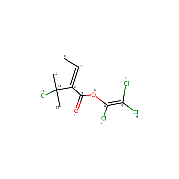 CC=C(C(=O)OC(Cl)=C(Cl)Cl)C(C)(C)Cl